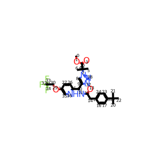 COC(=O)C(C)(C)n1cc([C@H](NC(=O)Cc2ccc(C(C)(C)C)cc2)c2ccc(OCC(F)(F)F)cn2)nn1